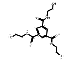 O=C(NCCS)c1cc(C(=O)NCCS)cc(C(=O)OCCS)c1